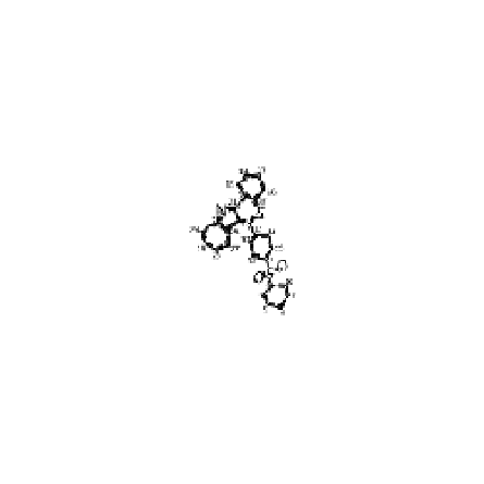 O=S(=O)(c1ccccc1)c1ccc(-c2sc3ccccc3c3nc4ccccc4c2-3)cc1